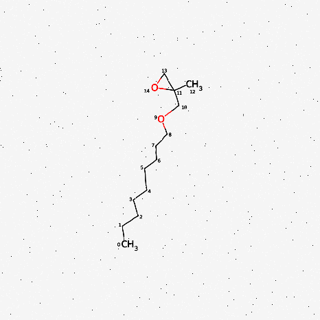 CCCCCCCCCOCC1(C)CO1